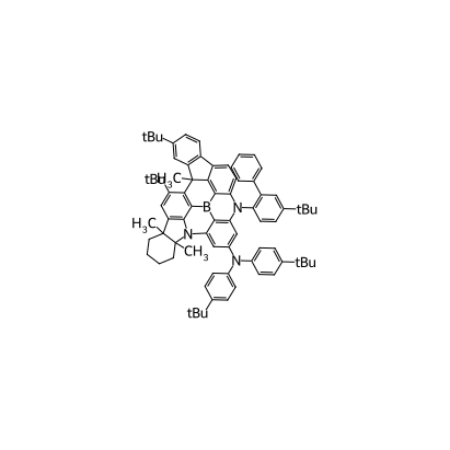 CC(C)(C)c1ccc(N(c2ccc(C(C)(C)C)cc2)c2cc3c4c(c2)N2c5c(cc(C(C)(C)C)c6c5B4c4c(ccc5c4C6(C)c4cc(C(C)(C)C)ccc4-5)N3c3ccc(C(C)(C)C)cc3-c3ccccc3)C3(C)CCCCC23C)cc1